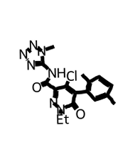 CCn1nc(C(=O)Nc2nnnn2C)c(Cl)c(-c2cc(C)ccc2C)c1=O